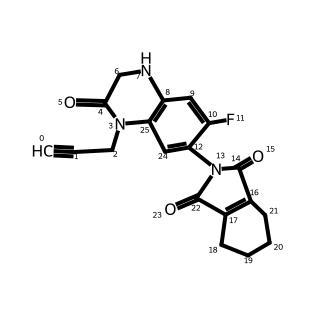 C#CCN1C(=O)CNc2cc(F)c(N3C(=O)C4=C(CCCC4)C3=O)cc21